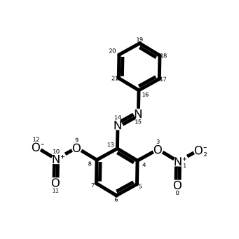 O=[N+]([O-])Oc1cccc(O[N+](=O)[O-])c1N=Nc1ccccc1